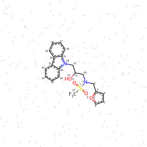 O=S(=O)(N(Cc1ccco1)CC(O)Cn1c2ccccc2c2ccccc21)C(F)(F)F